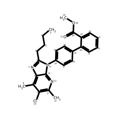 CCCCc1nc2c(C)c(Cl)c(C)nc2n1-c1ccc(-c2ccccc2C(=O)OC)cc1